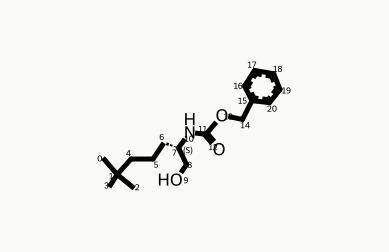 CC(C)(C)CCC[C@@H](CO)NC(=O)OCc1ccccc1